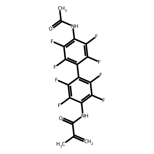 C=C(C)C(=O)Nc1c(F)c(F)c(-c2c(F)c(F)c(NC(C)=O)c(F)c2F)c(F)c1F